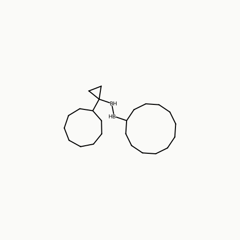 B(BC1(C2CCCCCCCC2)CC1)C1CCCCCCCCCCC1